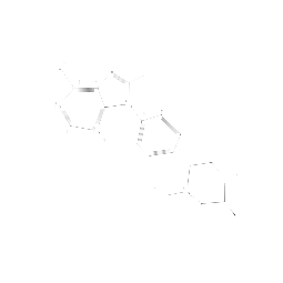 C[C@H]1CN(C(=O)O)[C@H](c2ccc(-n3c(Cl)cc4c(Cl)ncnc43)cc2)CO1